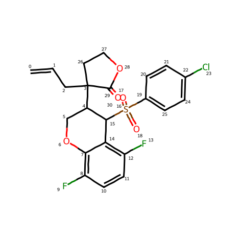 C=CCC1(C2COc3c(F)ccc(F)c3C2S(=O)(=O)c2ccc(Cl)cc2)CCOC1=O